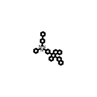 c1ccc(-c2ccc(-c3nc(-c4ccccc4)nc(-c4ccc(-c5c6ccccc6c(-c6ccc7ccccc7c6)c6c5ccc5ccccc56)cc4)n3)cc2)cc1